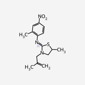 C=C(C)CN1CC(C)S/C1=N\c1ccc([N+](=O)[O-])cc1C